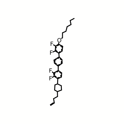 C=CCCC1CCC(c2ccc(-c3ccc(-c4ccc(OCCCCCCC)c(F)c4F)cc3)c(F)c2F)CC1